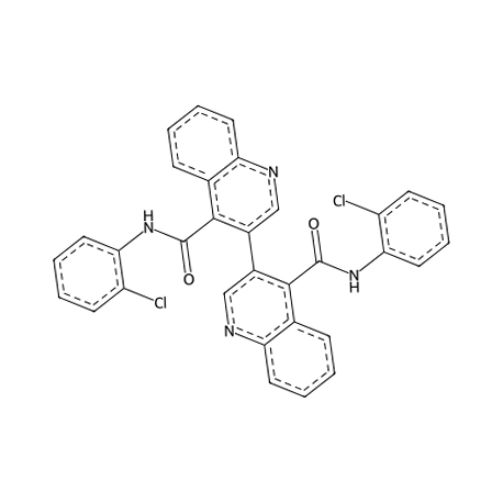 O=C(Nc1ccccc1Cl)c1c(-c2cnc3ccccc3c2C(=O)Nc2ccccc2Cl)cnc2ccccc12